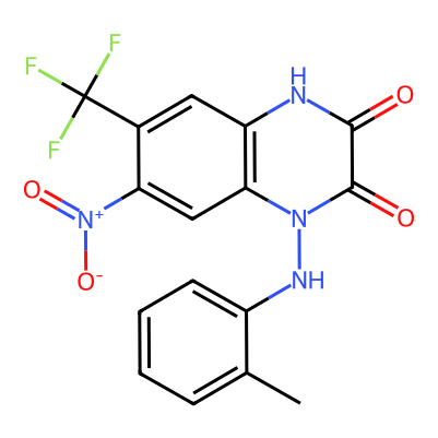 Cc1ccccc1Nn1c(=O)c(=O)[nH]c2cc(C(F)(F)F)c([N+](=O)[O-])cc21